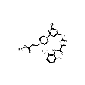 COC(=O)CCN1CCN(c2cc(Nc3ncc(C(=O)Nc4c(C)cccc4Cl)s3)nc(C)n2)CC1